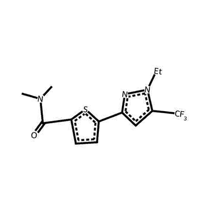 CCn1nc(-c2ccc(C(=O)N(C)C)s2)cc1C(F)(F)F